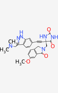 COc1ccc2c(c1)C(=O)N(C[C@@]1(C#Cc3ccc4c(CN(C)C)n[nH]c4c3)NC(=O)NC1=O)C2